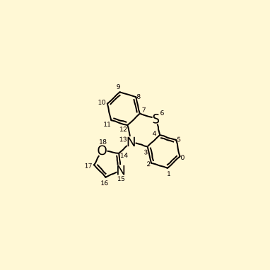 c1ccc2c(c1)Sc1ccccc1N2c1ncco1